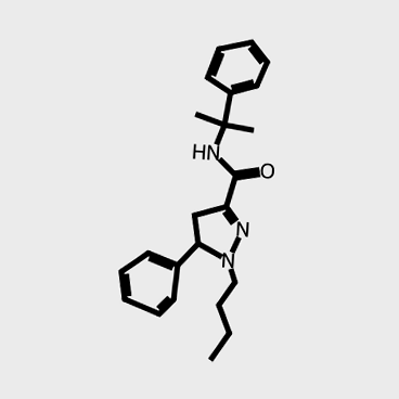 CCCCN1N=C(C(=O)NC(C)(C)c2ccccc2)CC1c1ccccc1